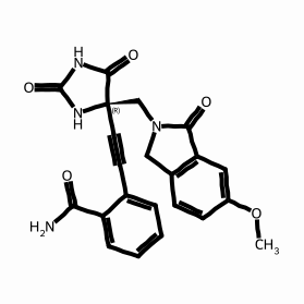 COc1ccc2c(c1)C(=O)N(C[C@@]1(C#Cc3ccccc3C(N)=O)NC(=O)NC1=O)C2